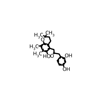 Cc1c(C)c2c(c(CC(=O)Cc3ccc(O)cc3O)c1O)CCC(C)(C)O2